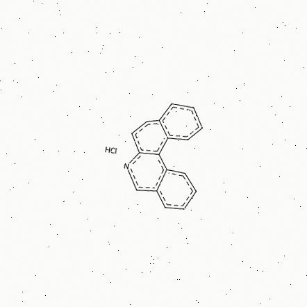 Cl.c1ccc2c(c1)ccc1ncc3ccccc3c12